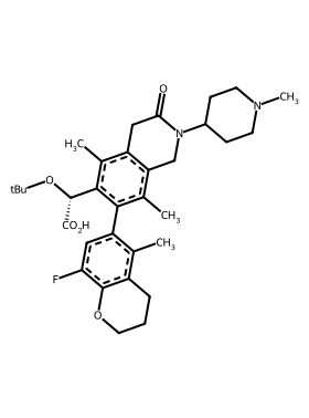 Cc1c(-c2c(C)c3c(c(C)c2[C@@H](OC(C)(C)C)C(=O)O)CC(=O)N(C2CCN(C)CC2)C3)cc(F)c2c1CCCO2